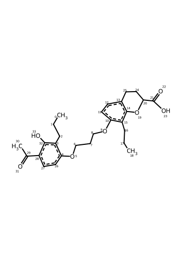 CCCc1c(OCCCOc2ccc3c(c2CCC)OC(C(=O)O)CC3)ccc(C(C)=O)c1O